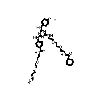 [N-]=[N+]=NCCOCCOCCNC(=O)c1ccc(Nc2nc(NCCOCCOCCNC(=O)c3ccccc3)nc(Nc3ccc(N)cc3)n2)cc1